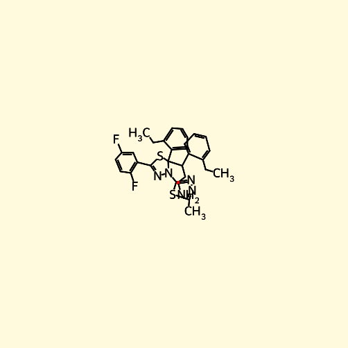 CCc1ccccc1C(CCN)C1(c2ccccc2CC)SC(c2cc(F)ccc2F)=NN1c1nnc(C)s1